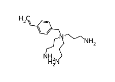 C=Cc1ccc(C[N+](CCCN)(CCCN)CCCN)cc1